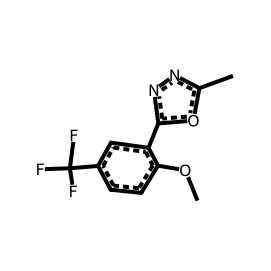 COc1ccc(C(F)(F)F)cc1-c1nnc(C)o1